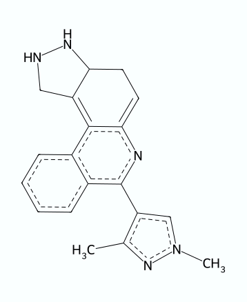 Cc1nn(C)cc1-c1nc2c(c3ccccc13)=C1CNNC1CC=2